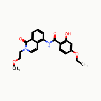 CCOc1ccc(C(=O)Nc2cccc3c(=O)n(CCOC)ccc23)c(O)c1